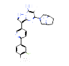 COc1ccc(-c2ccc(-c3cnn4c(N)c(C(C)=O)c(C5CC6CCC(C5)N6)nc34)cn2)cc1F